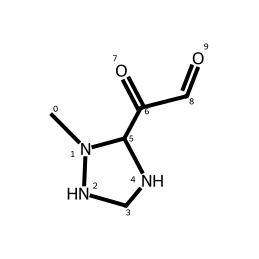 CN1NCNC1C(=O)C=O